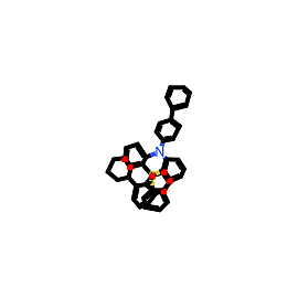 c1ccc(-c2ccc(N(c3ccccc3-c3cccc4cccc(C5CCCCC5)c34)c3cccc4c3sc3ccccc34)cc2)cc1